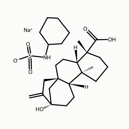 C=C1C[C@@]23CC[C@H]4[C@@](C)(CCC[C@@]4(C)C(=O)O)[C@@H]2CC[C@]1(O)C3.O=S(=O)([O-])NC1CCCCC1.[Na+]